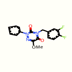 COc1nn(-c2ccccc2)c(=O)n(Cc2ccc(F)c(F)c2)c1=O